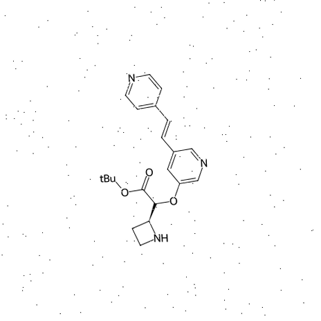 CC(C)(C)OC(=O)C(Oc1cncc(C=Cc2ccncc2)c1)[C@@H]1CCN1